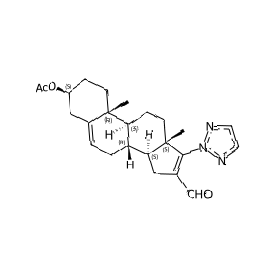 CC(=O)O[C@H]1CC[C@@]2(C)C(=CC[C@@H]3[C@@H]2CC[C@]2(C)C(n4nccn4)=C(C=O)C[C@@H]32)C1